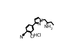 CC[C@@H](N)Cn1ccc(-c2ccc(C#N)c(Cl)c2)n1.Cl